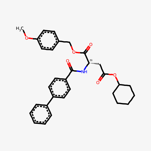 COc1ccc(COC(=O)[C@H](CC(=O)OC2CCCCC2)NC(=O)c2ccc(-c3ccccc3)cc2)cc1